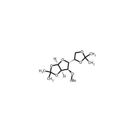 CCCCO[C@H]1[C@H]2OC(C)(C)O[C@H]2O[C@@H]1C1COC(C)(C)O1